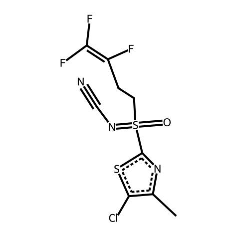 Cc1nc(S(=O)(CCC(F)=C(F)F)=NC#N)sc1Cl